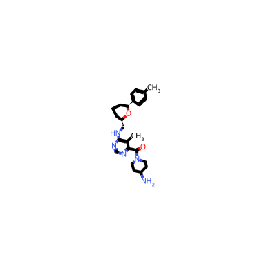 Cc1ccc([C@H]2CCC[C@@H](CNc3ncnc(C(=O)N4CCC(N)CC4)c3C)O2)cc1